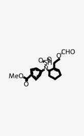 COC(=O)c1ccc(N(C2CCCC=C2CCOC=O)[SH](=O)=O)cc1